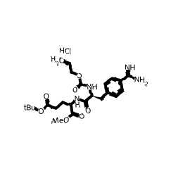 C=CCOC(=O)N[C@@H](Cc1ccc(C(=N)N)cc1)C(=O)NC(CCC(=O)OC(C)(C)C)C(=O)OC.Cl